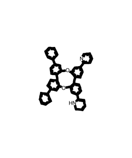 C1=CCNC(c2ccc3c(c2)Oc2cc(-c4ccccc4)ccc2-c2ccc(-c4ccccc4)cc2Oc2cc(-c4ccccn4)ccc2-3)=C1